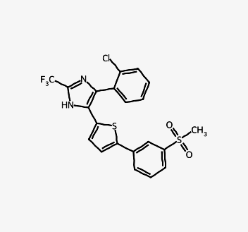 CS(=O)(=O)c1cccc(-c2ccc(-c3[nH]c(C(F)(F)F)nc3-c3ccccc3Cl)s2)c1